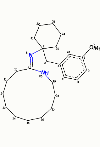 COc1cccc(CC2(N=C3CCCCCCCCCCN3)CCCCC2)c1